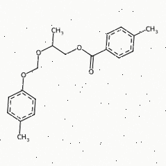 Cc1ccc(OCOC(C)COC(=O)c2ccc(C)cc2)cc1